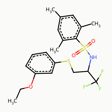 CCOc1cccc(SCC(NS(=O)(=O)c2c(C)cc(C)cc2C)C(F)(F)F)c1